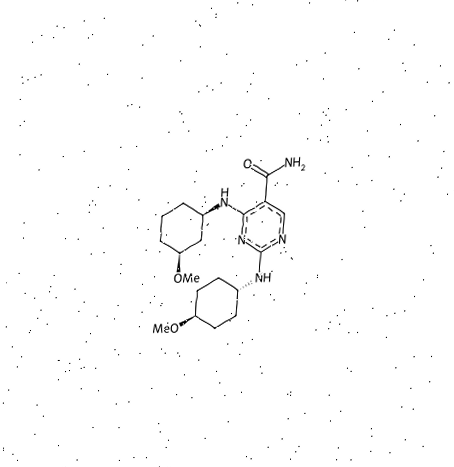 CO[C@H]1CCC[C@@H](Nc2nc(N[C@H]3CC[C@H](OC)CC3)ncc2C(N)=O)C1